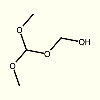 COC(OC)OCO